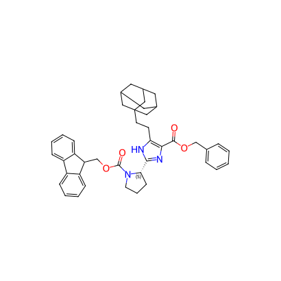 O=C(OCc1ccccc1)c1nc([C@@H]2CCCN2C(=O)OCC2c3ccccc3-c3ccccc32)[nH]c1CCC12CC3CC(CC(C3)C1)C2